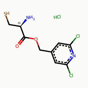 Cl.N[C@H](CS)C(=O)OCc1cc(Cl)nc(Cl)c1